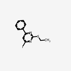 CCSc1nc(I)cc(-c2ccccc2)n1